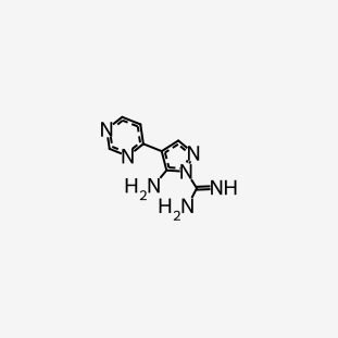 N=C(N)n1ncc(-c2ccncn2)c1N